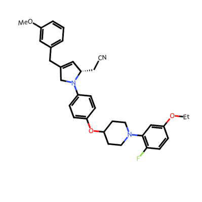 CCOc1ccc(F)c(N2CCC(Oc3ccc(N4CC(Cc5cccc(OC)c5)=C[C@@H]4CC#N)cc3)CC2)c1